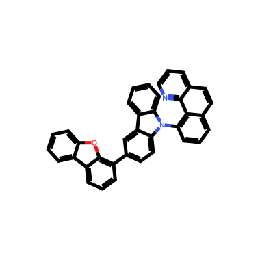 c1cnc2c(c1)ccc1cccc(-n3c4ccccc4c4cc(-c5cccc6c5oc5ccccc56)ccc43)c12